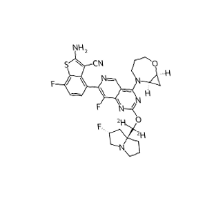 [2H]C([2H])(Oc1nc(N2CCCO[C@H]3C[C@H]32)c2cnc(-c3ccc(F)c4sc(N)c(C#N)c34)c(F)c2n1)[C@@]12CCCN1C[C@H](F)C2